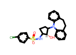 O=S(=O)(NC1CCC(N2c3ccccc3CCc3ccccc32)[C@@H]1O)c1ccc(Cl)cc1